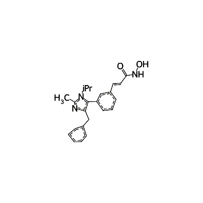 Cc1nc(Cc2ccccc2)c(-c2cccc(/C=C/C(=O)NO)c2)n1C(C)C